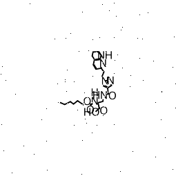 CCCCCCOC(=O)NC(CNC(=O)c1cnn(CCc2ccc3c(n2)NCCC3)c1)C(=O)O